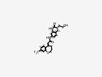 O=C(/C=C1\CCCOc2cc(C(F)(F)F)ccc21)Nc1ccc2c(c1)NC(=O)N(CCO)C2